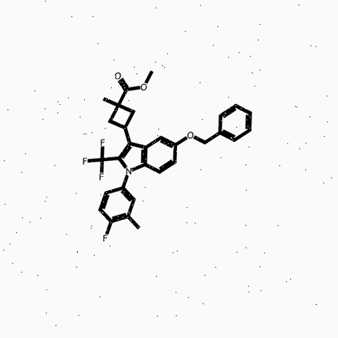 COC(=O)C1(C)CC(c2c(C(F)(F)F)n(-c3ccc(F)c(C)c3)c3ccc(OCc4ccccc4)cc23)C1